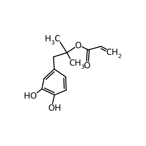 C=CC(=O)OC(C)(C)Cc1ccc(O)c(O)c1